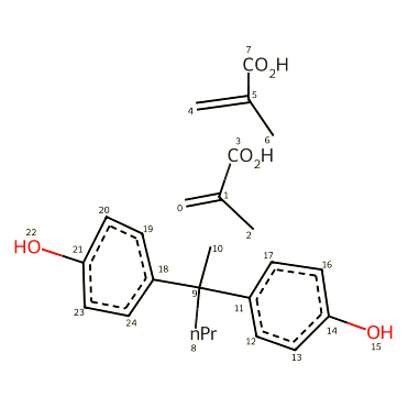 C=C(C)C(=O)O.C=C(C)C(=O)O.CCCC(C)(c1ccc(O)cc1)c1ccc(O)cc1